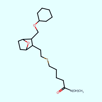 CN(O)C(=O)CCCCSCCC1C2CCC(O2)C1COC1CCCCC1